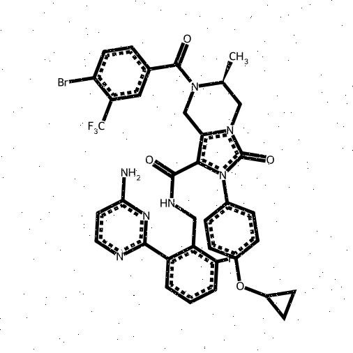 C[C@H]1Cn2c(c(C(=O)NCc3c(F)cccc3-c3nccc(N)n3)n(-c3ccc(OC4CC4)cc3)c2=O)CN1C(=O)c1ccc(Br)c(C(F)(F)F)c1